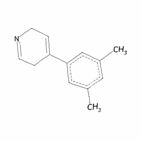 Cc1cc(C)cc(C2=CCN=CC2)c1